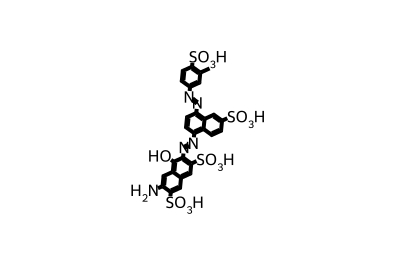 Cc1cc(/N=N/c2ccc(/N=N/c3c(S(=O)(=O)O)cc4cc(S(=O)(=O)O)c(N)cc4c3O)c3ccc(S(=O)(=O)O)cc23)ccc1S(=O)(=O)O